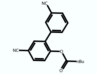 CCCCC(=O)Oc1ccc(C#N)cc1-c1cccc(C#N)c1